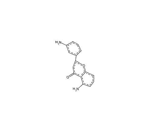 Nc1cccc(-c2cc(=O)c3c(N)cccc3o2)c1